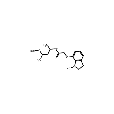 CCCCOC(C)CC(C)NC(=O)COc1cccc2c1B(O)OC2